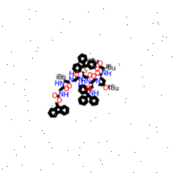 CC[C@H](C)[C@H](NC(=O)CNC(=O)OCC1c2ccccc2-c2ccccc21)C(=O)NCC(=O)N[C@@H](CSC(c1ccccc1)(c1ccccc1)c1ccccc1)C(=O)N[C@@H](CC(=O)NC(c1ccccc1)(c1ccccc1)c1ccccc1)C(=O)N1C[C@H](OC(C)(C)C)C[C@H]1C(=O)N[C@H](C(=O)OC(C)(C)C)[C@@H](C)CC